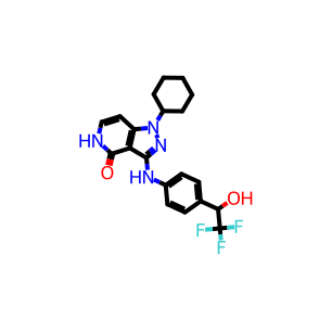 O=c1[nH]ccc2c1c(Nc1ccc(C(O)C(F)(F)F)cc1)nn2C1CCCCC1